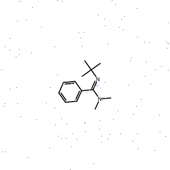 CN(C)/C(=N/C(C)(C)C)c1ccccc1